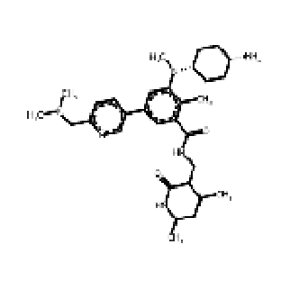 Cc1c(C(=O)NCC2C(=O)NC(C)CC2C)cc(-c2ccc(CN(C)C)nc2)cc1N(C)[C@H]1CC[C@@H](N)CC1